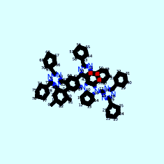 Cc1cc(C)c(-c2cc(N3c4ccccc4N(c4nc(-c5ccccc5)nc(-c5ccccc5)n4)c4ccccc43)c(-c3cc(-c4ccccc4)nc(-c4ccccc4)n3)cc2-c2nc(-c3ccccc3)nc(-c3ccccc3)n2)c(C)c1